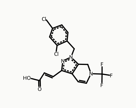 O=C(O)C=Cc1nn(Cc2ccc(Cl)cc2Cl)c2c1C=CN(C(F)(F)F)C2